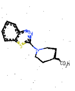 O=C(O)C1CCN(c2nc3ccccc3s2)CC1